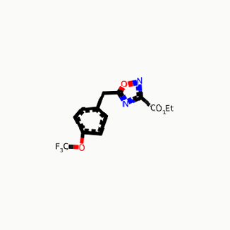 CCOC(=O)c1noc(Cc2ccc(OC(F)(F)F)cc2)n1